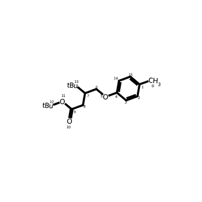 Cc1ccc(OCC(CC(=O)OC(C)(C)C)C(C)(C)C)cc1